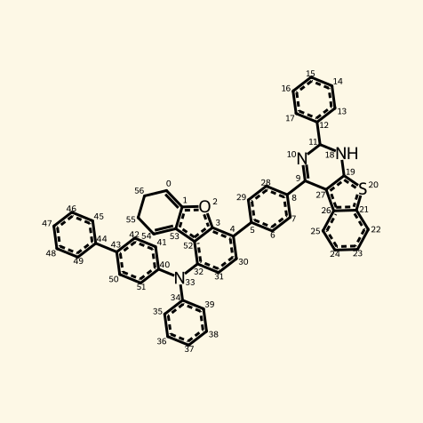 C1=c2oc3c(-c4ccc(C5=NC(c6ccccc6)Nc6sc7ccccc7c65)cc4)ccc(N(c4ccccc4)c4ccc(-c5ccccc5)cc4)c3c2=CCC1